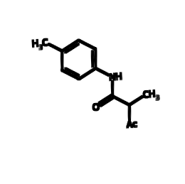 CC(=O)C(C)C(=O)Nc1ccc(C)cc1